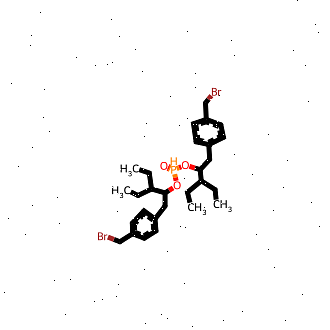 CCC(CC)C(Cc1ccc(CBr)cc1)O[PH](=O)OC(Cc1ccc(CBr)cc1)C(CC)CC